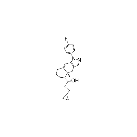 C[C@]12Cc3cnn(-c4ccc(F)cc4)c3C=C1CCC[C@@H]2[C@@H](O)CCC1CC1